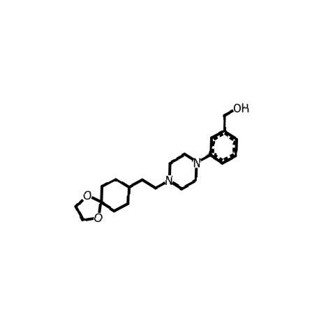 OCc1cccc(N2CCN(CCC3CCC4(CC3)OCCO4)CC2)c1